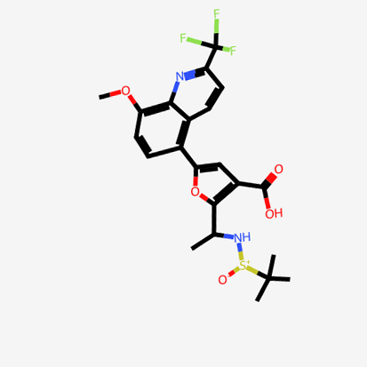 COc1ccc(-c2cc(C(=O)O)c(C(C)N[S+]([O-])C(C)(C)C)o2)c2ccc(C(F)(F)F)nc12